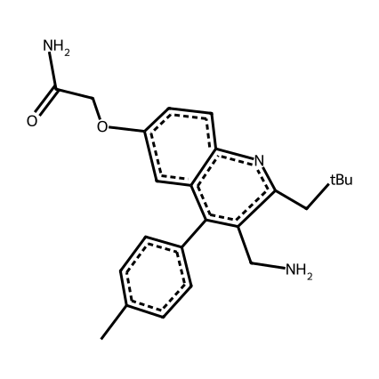 Cc1ccc(-c2c(CN)c(CC(C)(C)C)nc3ccc(OCC(N)=O)cc23)cc1